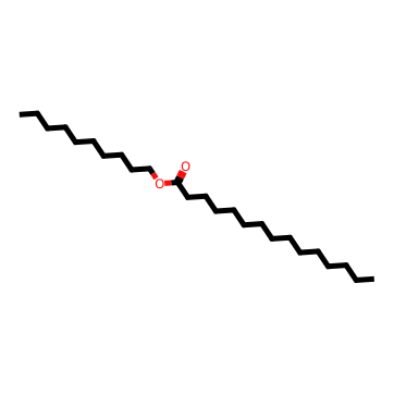 CCCCCCCCCCCCCCC(=O)OCCCCCCCCCC